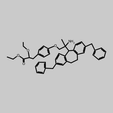 CCOC(=O)C(Cc1ccc(OCC(C)(N)C2c3ccc(Cc4ccccc4)cc3CCc3cc(Cc4ccccc4)ccc32)cc1)OCC